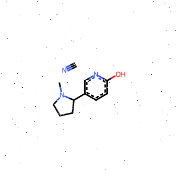 C#N.CN1CCCC1c1ccc(O)nc1